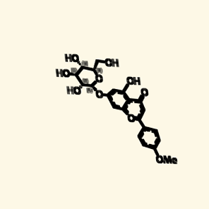 COc1ccc(-c2cc(=O)c3c(O)cc(O[C@@H]4O[C@H](CO)[C@@H](O)[C@H](O)[C@H]4O)cc3o2)cc1